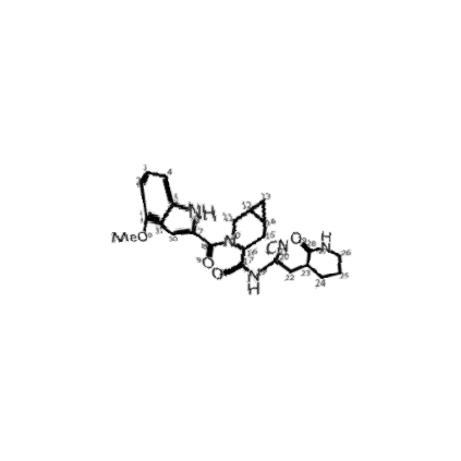 COc1cccc2[nH]c(C(=O)N3CC4CC4CC3C(=O)NC(C#N)CC3CCCNC3=O)cc12